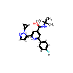 CC(C)(C)NC(O)c1cc(-c2ccc(F)cc2)nc(-c2ccnn2C2CC2)c1